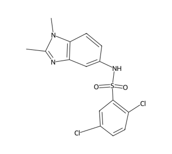 Cc1nc2cc(NS(=O)(=O)c3cc(Cl)ccc3Cl)ccc2n1C